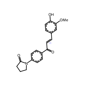 COc1cc(/C=C/C(=O)c2ccc(N3CCCC3=O)cc2)ccc1O